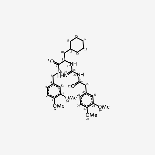 COc1ccc(CNC(=O)[C@@H](CC2CCCCC2)NC(=N)NC(=O)Cc2ccc(OC)c(OC)c2)cc1OC